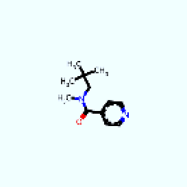 CN(CC(C)(C)C)C(=O)c1ccncc1